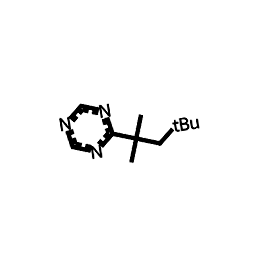 CC(C)(C)CC(C)(C)c1ncncn1